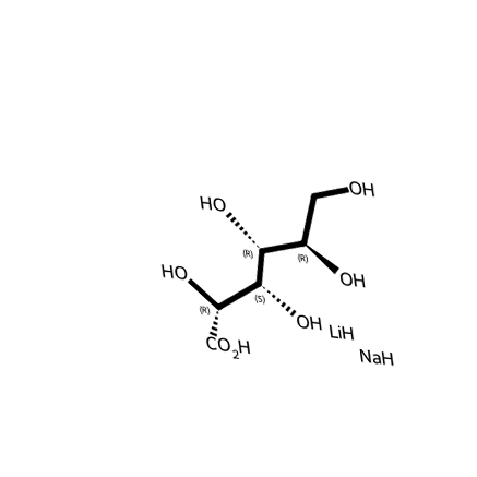 O=C(O)[C@H](O)[C@@H](O)[C@H](O)[C@H](O)CO.[LiH].[NaH]